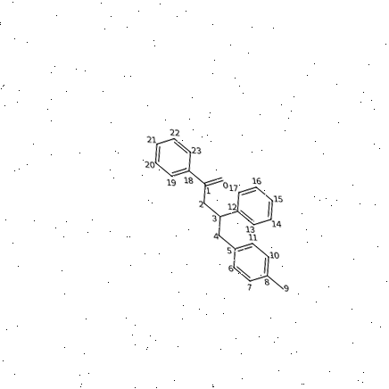 C=C(CC(Cc1ccc(C)cc1)c1ccccc1)c1ccccc1